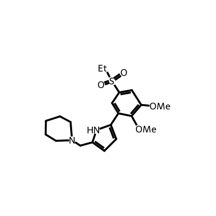 CCS(=O)(=O)c1cc(OC)c(OC)c(-c2ccc(CN3CCCCC3)[nH]2)c1